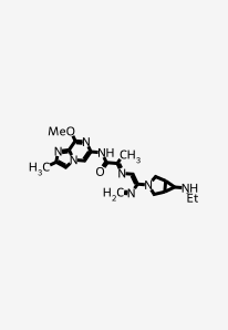 C=N/C(=C\N=C(/C)C(=O)Nc1cn2cc(C)nc2c(OC)n1)N1CC2C(C1)C2NCC